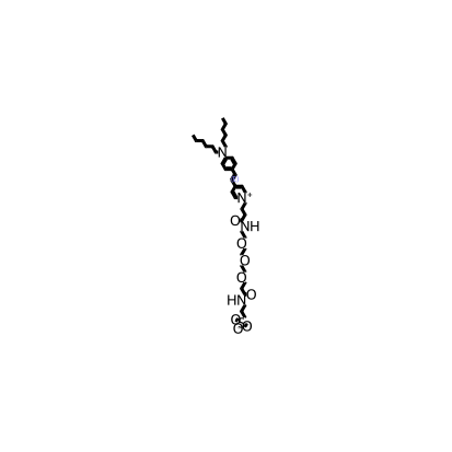 CCCCCCN(CCCCCC)c1ccc(/C=C/c2cc[n+](CCCC(=O)NCCOCCOCCOCCC(=O)NCCCS(=O)(=O)[O-])cc2)cc1